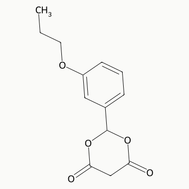 CCCOc1cccc(C2OC(=O)CC(=O)O2)c1